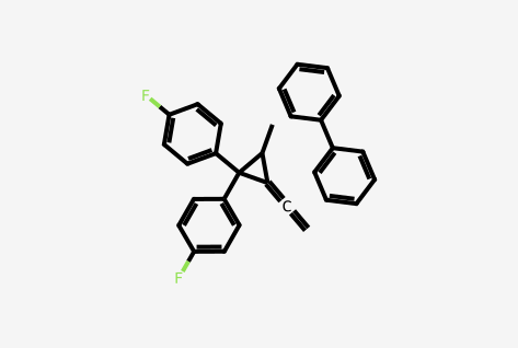 C=C=C1C(C)C1(c1ccc(F)cc1)c1ccc(F)cc1.c1ccc(-c2ccccc2)cc1